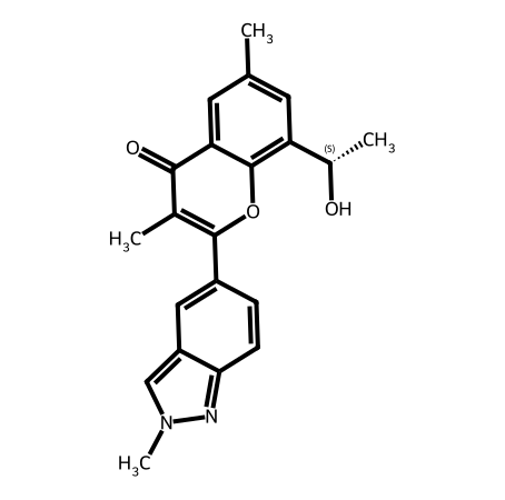 Cc1cc([C@H](C)O)c2oc(-c3ccc4nn(C)cc4c3)c(C)c(=O)c2c1